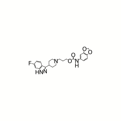 O=C(Nc1ccc2c(c1)OCO2)OCCCN1CCC(c2n[nH]c3cc(F)ccc23)CC1